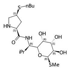 CCCCS[C@@H]1CN[C@H](C(=O)N[C@H](C(C)C)C2O[C@H](SC)[C@H](O)[C@@H](O)[C@H]2O)C1